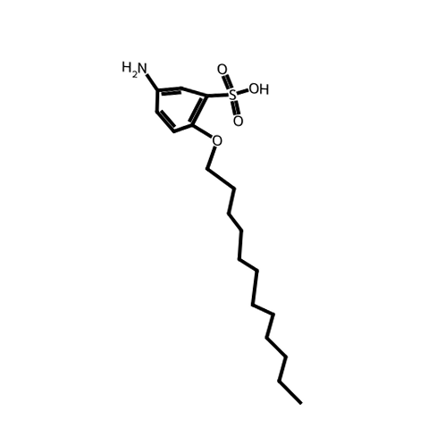 CCCCCCCCCCCCOc1ccc(N)cc1S(=O)(=O)O